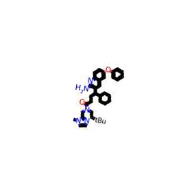 Cn1ccnc1CN(CCC(C)(C)C)C(=O)CCC(c1cc2cc(Oc3ccccc3)ccc2nc1N)C1CCCCC1